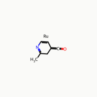 CC1=NC=CC(=C=O)C1.[Ru]